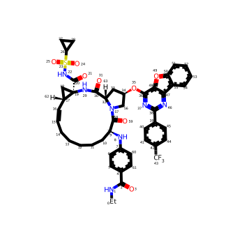 CCNC(=O)c1ccc(N[C@H]2CCCCC/C=C\[C@@H]3C[C@@]3(C(=O)NS(=O)(=O)C3CC3)NC(=O)[C@@H]3C[C@@H](Oc4nc(-c5ccc(C(F)(F)F)cc5)nc5c4oc4ccccc45)CN3C2=O)cc1